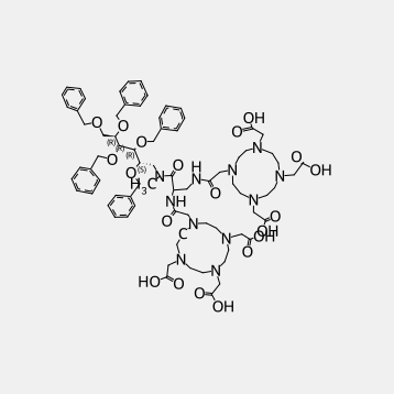 CN(C[C@H](OCc1ccccc1)[C@@H](OCc1ccccc1)[C@H](OCc1ccccc1)[C@@H](COCc1ccccc1)OCc1ccccc1)C(=O)C(CNC(=O)CN1CCN(CC(=O)O)CCN(CC(=O)O)CCN(CC(=O)O)CC1)NC(=O)CN1CCN(CC(=O)O)CCN(CC(=O)O)CCN(CC(=O)O)CC1